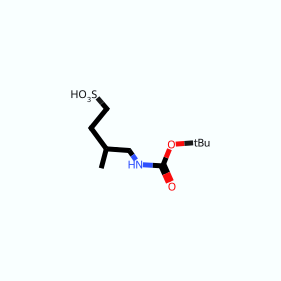 CC(CCS(=O)(=O)O)CNC(=O)OC(C)(C)C